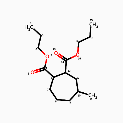 CCCOC(=O)C1CCCC(C)CC1C(=O)OCCC